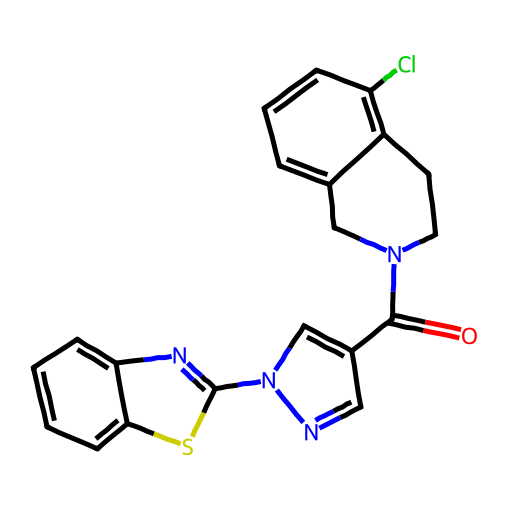 O=C(c1cnn(-c2nc3ccccc3s2)c1)N1CCc2c(Cl)cccc2C1